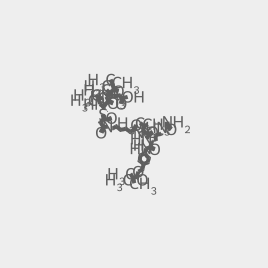 CC(C)[C@H](NC(=O)CCCCCN1C(=O)CC(SC[C@H](NC(C)(C)C)C(=O)NC(C)(CCC(=O)O)C(=O)C(C)(C)C)C1=O)C(=O)N[C@@H](CCCNC(N)=O)C(=O)NC1CCC(COC(=O)C(C)(C)C)CC1